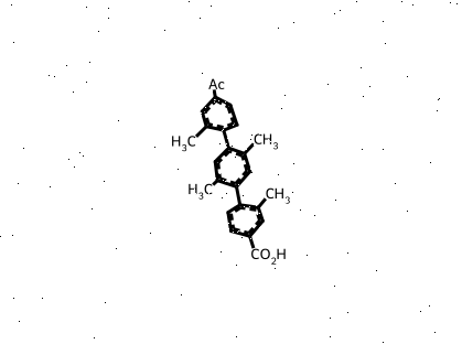 CC(=O)c1ccc(-c2cc(C)c(-c3ccc(C(=O)O)cc3C)cc2C)c(C)c1